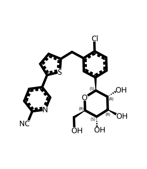 N#Cc1ccc(-c2ccc(Cc3cc([C@@H]4O[C@H](CO)[C@@H](O)[C@H](O)[C@H]4O)ccc3Cl)s2)cn1